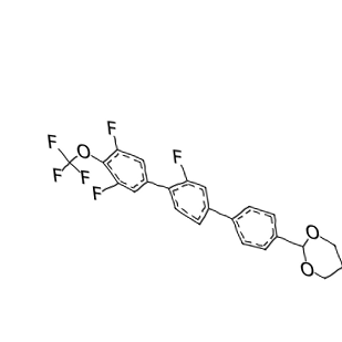 Fc1cc(-c2ccc(C3OCCCO3)cc2)ccc1-c1cc(F)c(OC(F)(F)F)c(F)c1